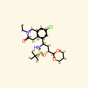 CCN1Cc2cc(Cl)cc(C(CCC3OCCCO3)N[S@@+]([O-])C(C)(C)C)c2CC1=O